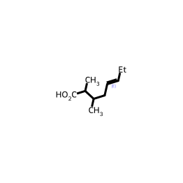 CC/C=C/CC(C)C(C)C(=O)O